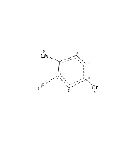 [C-]#[N+]c1ccc(Br)cc1F